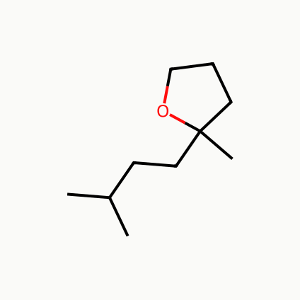 CC(C)CCC1(C)CCCO1